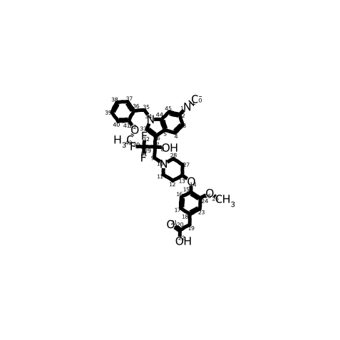 [C-]#[N+]c1ccc2c(C(O)(CN3CCC(Oc4ccc(CC(=O)O)cc4OC)CC3)C(F)(F)F)cn(Cc3ccccc3OC)c2c1